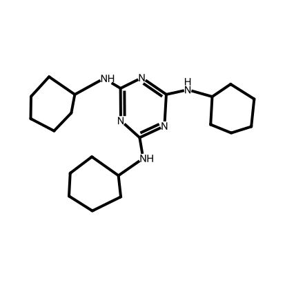 C1CCC(Nc2nc(NC3CCCCC3)nc(NC3CCCCC3)n2)CC1